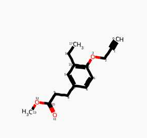 C#CCOc1ccc(CCC(=O)OC)cc1CC